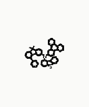 CC1(C)c2ccc(N(c3ccc4c5ccccc5c5ccccc5c4c3)c3cccc4sc5ccccc5c34)cc2-c2c(-c3ccccc3)cccc21